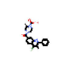 Cc1c(-c2ccccc2)nc2cc(C(=O)N3CCN(C(=O)O)[C@H](C)C3)ccc2c1Cl